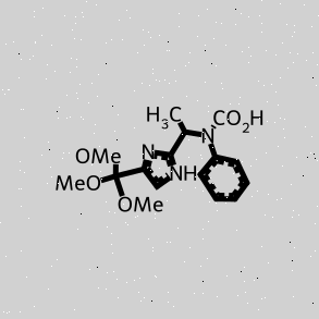 COC(OC)(OC)c1c[nH]c(C(C)N(C(=O)O)c2ccccc2)n1